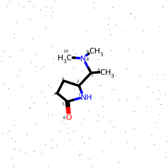 CC(C1CCC(=O)N1)N(C)C